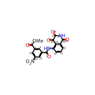 COC(=O)c1cc(C(=O)Nc2cccc3c2C(=O)C(=O)NC3=O)cc([N+](=O)[O-])c1